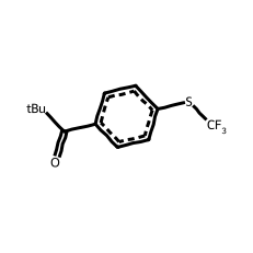 CC(C)(C)C(=O)c1ccc(SC(F)(F)F)cc1